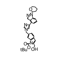 CC(C)(C)OC(=O)n1c(CO)cc2ccc(Cn3cnc(-c4cccc5c4cnn5C4CCCCO4)c3)cc21